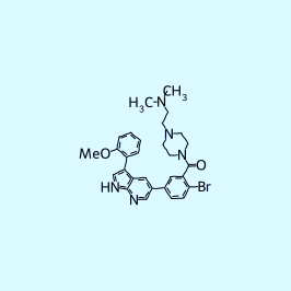 COc1ccccc1-c1c[nH]c2ncc(-c3ccc(Br)c(C(=O)N4CCN(CCN(C)C)CC4)c3)cc12